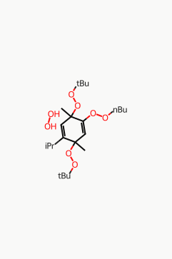 CCCCOOC1=CC(C)(OOC(C)(C)C)C(C(C)C)=CC1(C)OOC(C)(C)C.OO